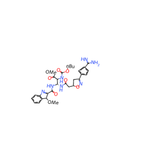 CCCCOC(=O)NC(C(=O)OC)[C@H](NC(=O)CC1CC(c2ccc(C(=N)N)cc2)=NO1)NC(=O)C1=Nc2ccccc2C1OC